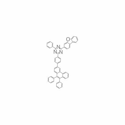 c1ccc(-c2nc(-c3ccc(-c4ccc5c(-c6ccccc6)c(-c6ccccc6)c6ccccc6c5c4)cc3)nc(-c3ccc4c(c3)oc3ccccc34)n2)cc1